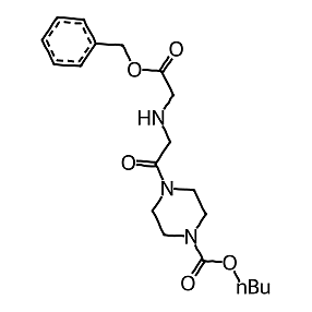 CCCCOC(=O)N1CCN(C(=O)CNCC(=O)OCc2ccccc2)CC1